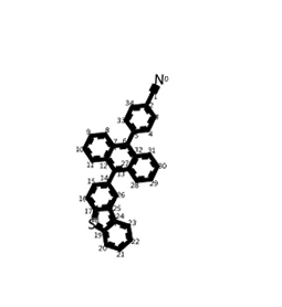 N#Cc1ccc(-c2c3ccccc3c(-c3ccc4sc5ccccc5c4c3)c3ccccc23)cc1